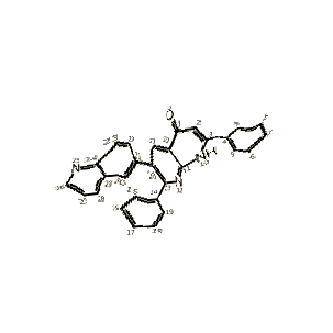 O=c1cc(-c2ccccc2)[nH]c2nc(-c3ccccc3)c(-c3ccc4ncccc4c3)cc12